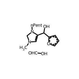 CCCCCN1CN(C)C=C1C(O)c1ccco1.O=CO